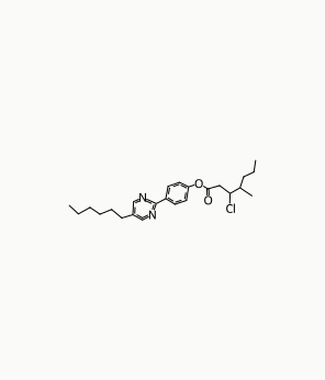 CCCCCCc1cnc(-c2ccc(OC(=O)CC(Cl)C(C)CCC)cc2)nc1